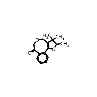 CC1OC2=C(COCC(=O)c3ccccc32)C1(C)C